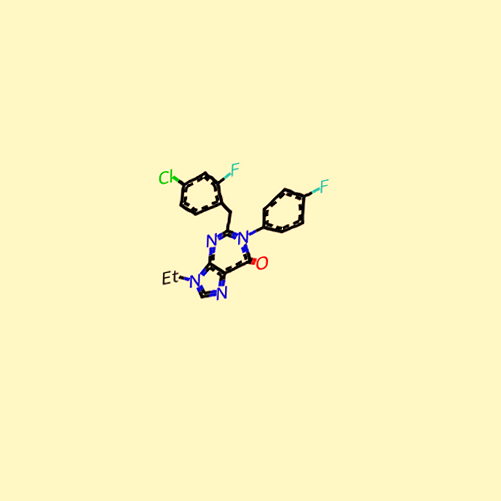 CCn1cnc2c(=O)n(-c3ccc(F)cc3)c(Cc3ccc(Cl)cc3F)nc21